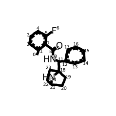 Cc1cccc(F)c1C(=O)NC(c1ccccc1)C12CCC(CC1)N2